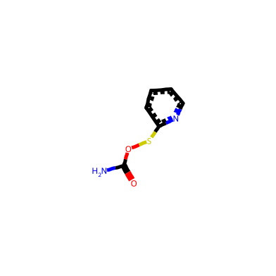 NC(=O)OSc1ccccn1